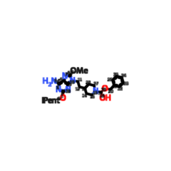 CCC[C@H](C)Oc1nc(N)c2nc(OC)n(CCC3CCN(C(O)OCc4ccccc4)CC3)c2n1